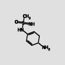 CS(=N)(=O)NC1=CCC(N)C=C1